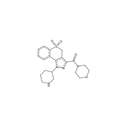 O=C(c1nn(C2CCCNC2)c2c1CS(=O)(=O)c1ccccc1-2)N1CCOCC1